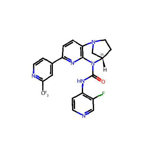 O=C(Nc1ccncc1F)N1c2nc(-c3ccnc(C(F)(F)F)c3)ccc2N2CC[C@H]1C2